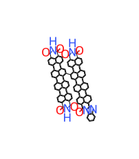 O=C1NC(=O)c2ccc3c4ccc5c6c(-c7cc8c9ccc%10c%11ccc%12c(=O)n%13c%14ccccc%14nc%13c%13ccc(c%14ccc(c%15ccc%16c%17ccc%18c%19c(ccc(c7c%16c%158)c%19%17)C(=O)NC%18=O)c9c%14%10)c%11c%12%13)cc7c8ccc9c%10c(ccc(c%11ccc(c%12ccc(c%13ccc1c2c%133)c4c%125)c6c%117)c%108)C(=O)NC9=O